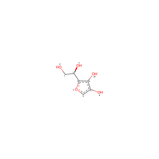 OC[C@@H](O)c1occ(O)c1O